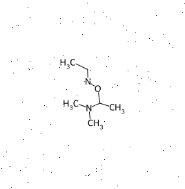 CC[N]OC(C)N(C)C